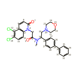 CN(C(=O)Cn1c(=O)ccc2c(Cl)c(Cl)ccc21)C(CN1CCOCC1)c1ccc(-c2ccccc2)cc1